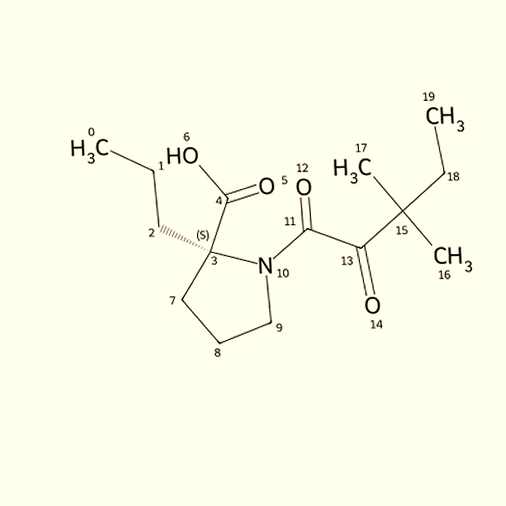 CCC[C@@]1(C(=O)O)CCCN1C(=O)C(=O)C(C)(C)CC